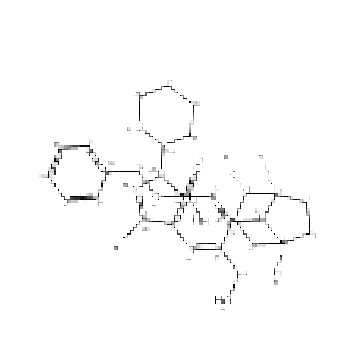 O=C(N[C@H]1C[C@@H]2CC[C@H]([C@H]1F)N2c1nc2c(nc1CO)c(I)nn2C1CCCCO1)OCc1ccccc1